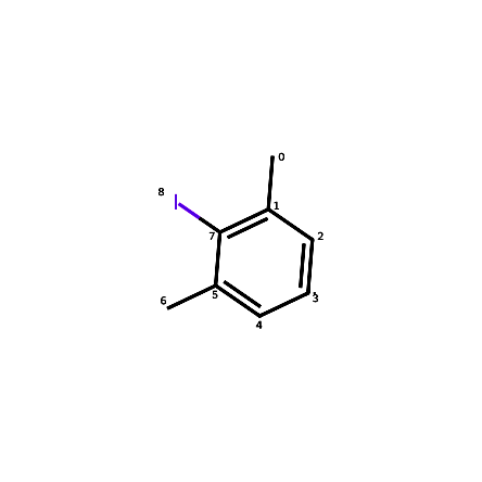 Cc1c[c]cc(C)c1I